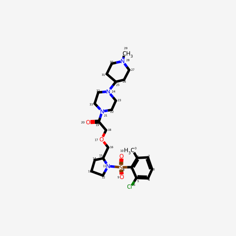 Cc1cccc(Cl)c1S(=O)(=O)N1CCCC1COCC(=O)N1CCN(C2CCN(C)CC2)CC1